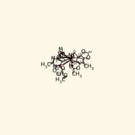 C=C1S[C@@H]2c3c(OC(C)=O)c(C)c4c(c3C(COC(=O)C1=O)N1C[C@@H]3Cc5cc(C)c(OC)c(OCOC)c5C(C21)N3C)OCO4